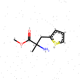 COC(=O)C(C)(N)Cc1cccs1